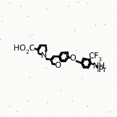 CC(C)Nc1ccc(COc2ccc3c(c2)OCC(CN2CCC=C(C(=O)O)C2)=C3)cc1C(F)(F)F